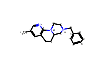 FC(F)(F)c1cnc2c(c1)CCC1CN(Cc3ccccc3)CCN21